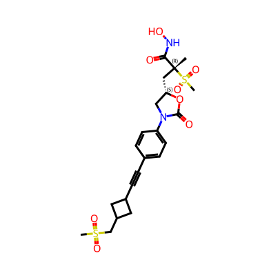 C[C@@](C[C@H]1CN(c2ccc(C#CC3CC(CS(C)(=O)=O)C3)cc2)C(=O)O1)(C(=O)NO)S(C)(=O)=O